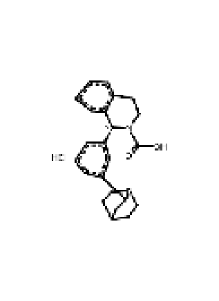 Cl.O=C(O)N1CCc2ccccc2[C@@H]1c1cccc(C2CC3CCN2CC3)c1